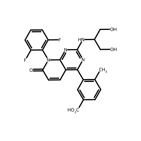 Cc1ccc(C(=O)O)cc1-c1nc(NC(CO)CO)nc2c1ccc(=O)n2-c1c(F)cccc1F